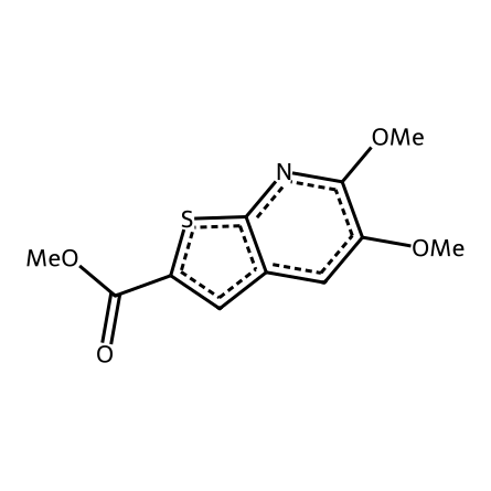 COC(=O)c1cc2cc(OC)c(OC)nc2s1